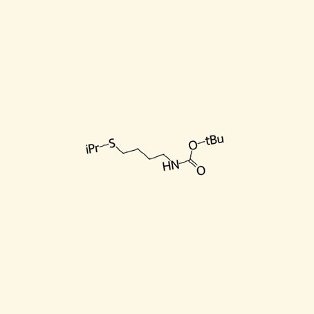 CC(C)SCCCCNC(=O)OC(C)(C)C